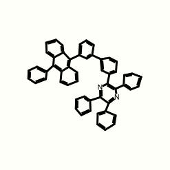 c1ccc(-c2nc(-c3ccccc3)c(-c3cccc(-c4cccc(-c5c6ccccc6c(-c6ccccc6)c6ccccc56)c4)c3)nc2-c2ccccc2)cc1